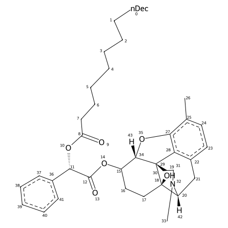 CCCCCCCCCCCCCCCCCC(=O)O[C@H](C(=O)OC1CC[C@@]2(O)[C@H]3Cc4ccc(C)c5c4[C@@]2(CCN3C)[C@H]1O5)c1ccccc1